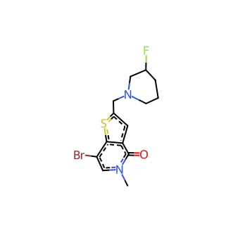 Cn1cc(Br)c2sc(CN3CCCC(F)C3)cc2c1=O